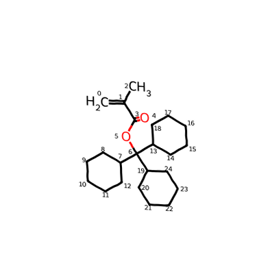 C=C(C)C(=O)OC(C1CCCCC1)(C1CCCCC1)C1CCCCC1